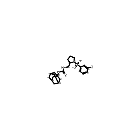 O=C(NCC1CCCN1S(=O)(=O)c1cccc(Cl)c1)NC12CC3CC(CC(C3)C1)C2